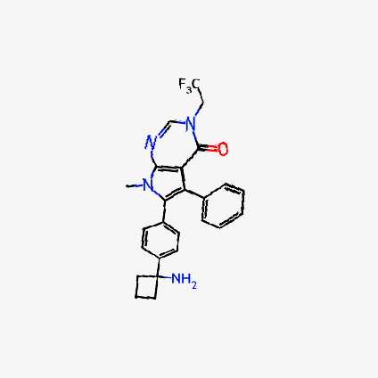 Cn1c(-c2ccc(C3(N)CCC3)cc2)c(-c2ccccc2)c2c(=O)n(CC(F)(F)F)cnc21